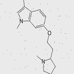 Cc1cn(C)c2cc(OCCC3CCCN3C)ccc12